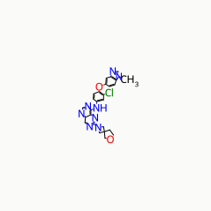 Cn1cnc2cc(Oc3ccc(Nc4ncnc5cnc(N6CC7(CCOC7)C6)nc45)cc3Cl)ccc21